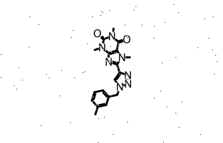 Cc1cccc(Cn2cc(-c3nc4c(c(=O)n(C)c(=O)n4C)n3C)nn2)c1